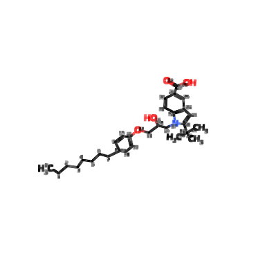 CCCCCCCCc1ccc(OCC(O)Cn2c(C(C)(C)C)cc3cc(C(=O)O)ccc32)cc1